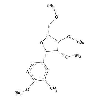 CCCCOC[C@H]1O[C@@H](c2cnc(OCCCC)c(C)c2)[C@@H](OCCCC)C1OCCCC